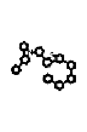 c1ccc(-c2cccc(-c3cccc(-c4cccc(-c5ccc6sc7c(-c8cccc(-n9c%10ccccc%10c%10cc(-c%11ccccc%11)ccc%109)c8)cccc7c6c5)c4)c3)c2)cc1